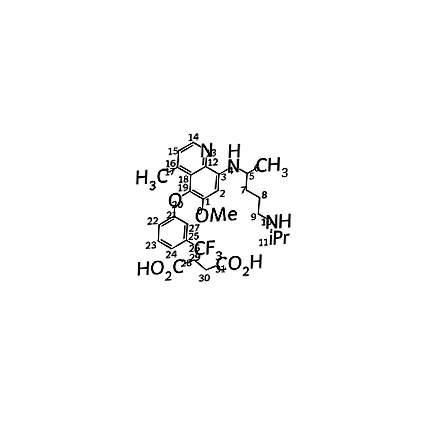 COc1cc(NC(C)CCCNC(C)C)c2nccc(C)c2c1Oc1cccc(C(F)(F)F)c1.O=C(O)CCC(=O)O